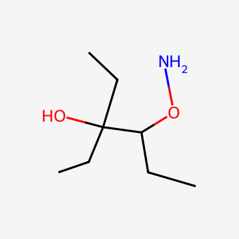 CCC(ON)C(O)(CC)CC